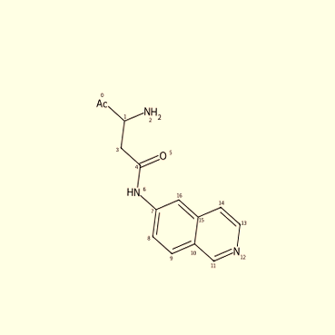 CC(=O)C(N)CC(=O)Nc1ccc2cnccc2c1